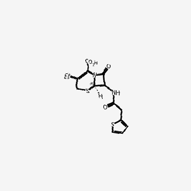 CCC1=C(C(=O)O)N2C(=O)C(NC(=O)Cc3cccs3)[C@H]2SC1